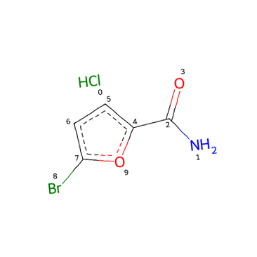 Cl.NC(=O)c1ccc(Br)o1